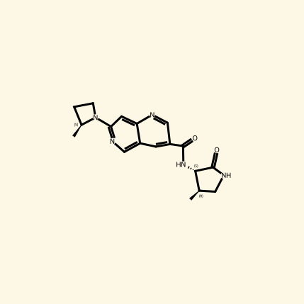 C[C@@H]1CNC(=O)[C@H]1NC(=O)c1cnc2cc(N3CC[C@@H]3C)ncc2c1